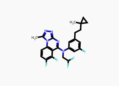 Cc1nnc2nc(N(CC(F)F)c3cc(F)cc(CCC4(C)CC4)c3)c3c(F)c(F)ccc3n12